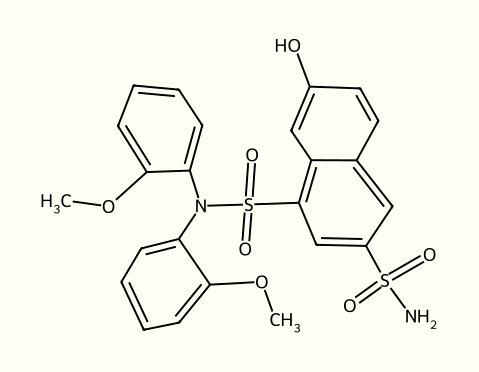 COc1ccccc1N(c1ccccc1OC)S(=O)(=O)c1cc(S(N)(=O)=O)cc2ccc(O)cc12